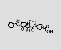 CCc1c(C(=O)NC2CCN(C(=O)CO)CC2)n(C)c2cc(CC)n(CC(=O)c3ccccc3)c(=O)c12